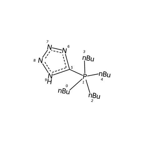 CCCCP(CCCC)(CCCC)(CCCC)c1nnn[nH]1